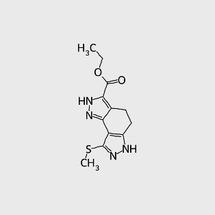 CCOC(=O)c1[nH]nc2c1CCc1[nH]nc(SC)c1-2